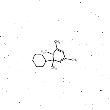 CC1=NC(C)(N2CCCCC2)N(C)C(C)=N1